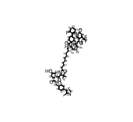 Cc1ncsc1-c1ccc(CNC(=O)[C@@H]2C[C@@H](O)CN2C(=O)C(NC(=O)CCCCCCCCCNC(=O)C2(N3C[C@@H](C)N(C)[C@@H](C)C3)C=CC(c3ccccc3F)=CC2NC(=O)c2c[nH]c(=O)cc2C(F)(F)F)C(C)(C)C)cc1